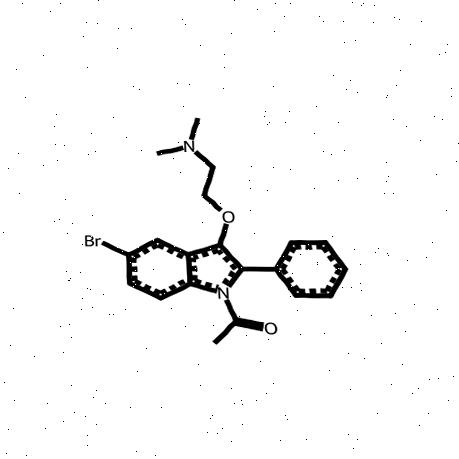 CC(=O)n1c(-c2ccccc2)c(OCCN(C)C)c2cc(Br)ccc21